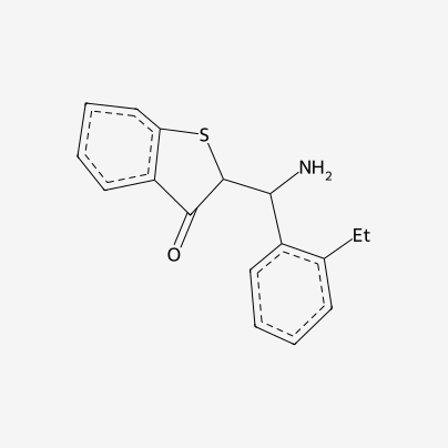 CCc1ccccc1C(N)C1Sc2ccccc2C1=O